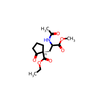 CCOC(=O)[C@]1(CC(NC(C)=O)C(=O)OC)CCCC1=O